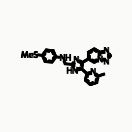 CSc1ccc(NCc2nc(-c3ccc4ncnn4c3)c(-c3cccc(C)n3)[nH]2)cc1